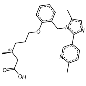 Cc1ccc(-c2ncc(C)n2Cc2ccccc2OCCC[C@H](C)CC(=O)O)cn1